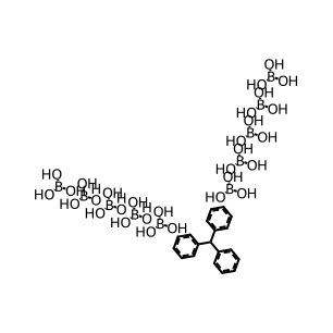 OB(O)O.OB(O)O.OB(O)O.OB(O)O.OB(O)O.OB(O)O.OB(O)O.OB(O)O.OB(O)O.OB(O)O.c1ccc(C(c2ccccc2)c2ccccc2)cc1